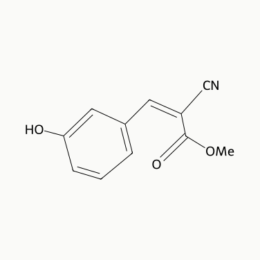 COC(=O)C(C#N)=Cc1cccc(O)c1